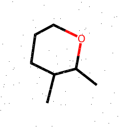 CC1CCCOC1C